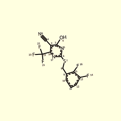 N#Cc1c(O)nc(SCc2cccc(F)c2F)nc1C(F)(F)F